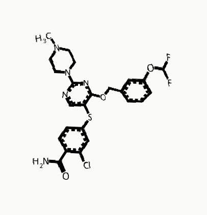 CN1CCN(c2ncc(Sc3ccc(C(N)=O)c(Cl)c3)c(OCc3cccc(OC(F)F)c3)n2)CC1